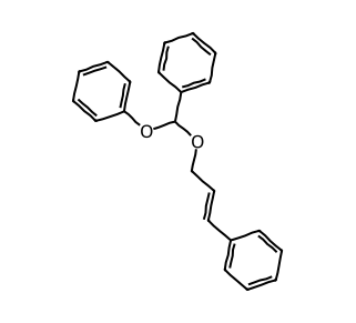 C(=Cc1ccccc1)COC(Oc1ccccc1)c1ccccc1